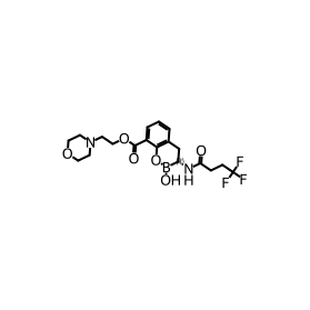 O=C(CCC(F)(F)F)N[C@H]1Cc2cccc(C(=O)OCCN3CCOCC3)c2OB1O